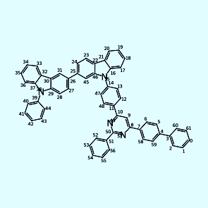 c1ccc(-c2ccc(-c3cc(-c4ccc(-n5c6ccccc6c6ccc(-c7ccc8c(c7)c7ccccc7n8-c7ccccc7)cc65)cc4)nc(-c4ccccc4)n3)cc2)cc1